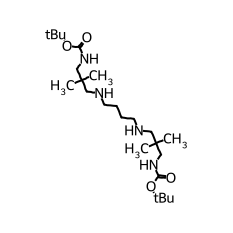 CC(C)(CNCCCCNCC(C)(C)CNC(=O)OC(C)(C)C)CNC(=O)OC(C)(C)C